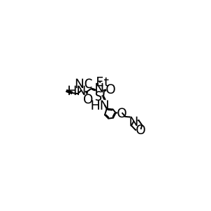 C#CCNC(=O)C(C#N)=c1sc(=CNc2cccc(OCCN3CCOCC3)c2)c(=O)n1CC